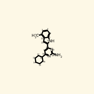 Cc1cccc2[nH]c(-c3cc(C4CCCCC4)nc(N)n3)cc12